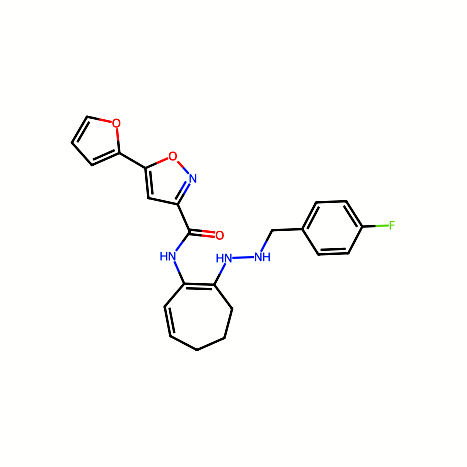 O=C(NC1=C(NNCc2ccc(F)cc2)CCCC=C1)c1cc(-c2ccco2)on1